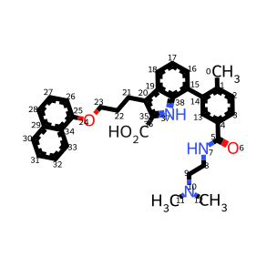 Cc1ccc(C(=O)NCCN(C)C)cc1-c1cccc2c(CCCOc3cccc4ccccc34)c(C(=O)O)[nH]c12